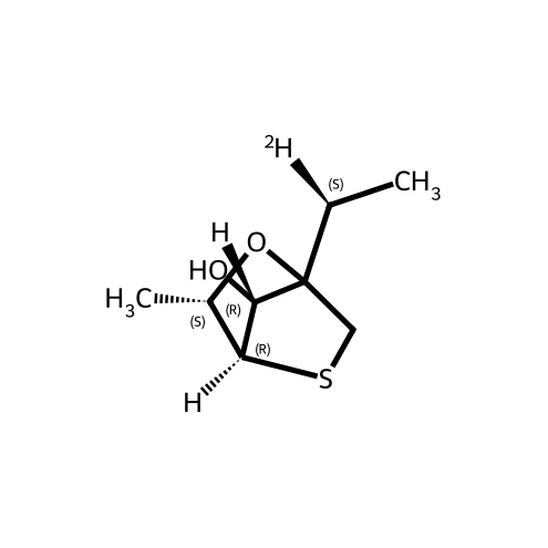 [2H][C@@H](C)C12CS[C@@H]([C@H](C)O1)[C@@H]2O